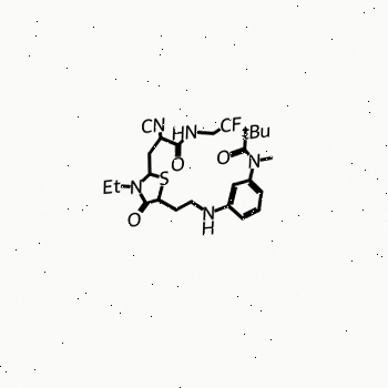 CCN1C(=O)C(CCNc2cccc(N(C)C(=O)C(C)(C)C)c2)SC1CC(C#N)C(=O)NCC(F)(F)F